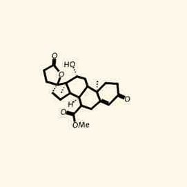 COC(=O)C1CC2=CC(=O)CC[C@]2(C)C2C[C@@H](O)[C@@]3(C)C(CC[C@@]34CCC(=O)O4)[C@H]12